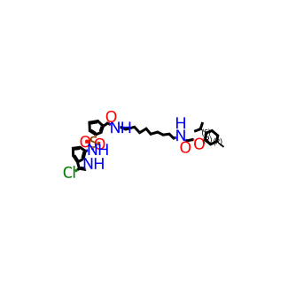 CC(C)[C@@H]1CC[C@@H](C)C[C@H]1OCC(=O)NCCCCCCCCCCNC(=O)c1cccc(S(=O)(=O)Nc2cccc3c(Cl)c[nH]c23)c1